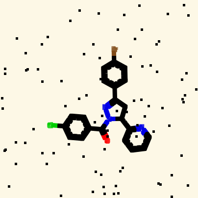 O=C(c1ccc(Cl)cc1)N1N=C(c2ccc(Br)cc2)CC1c1ccccn1